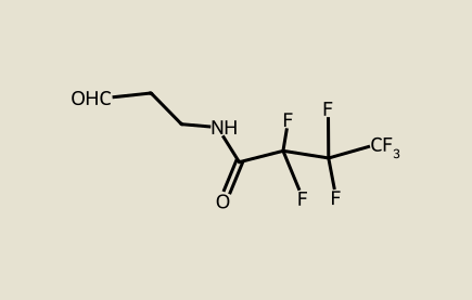 O=CCCNC(=O)C(F)(F)C(F)(F)C(F)(F)F